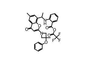 Cc1cc(C(C)Nc2ccccc2C(=O)OC(=O)C(F)(F)F)c2oc(N3CC(C)(Oc4ccccc4)C3)cc(=O)c2c1